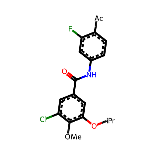 COc1c(Cl)cc(C(=O)Nc2ccc(C(C)=O)c(F)c2)cc1OC(C)C